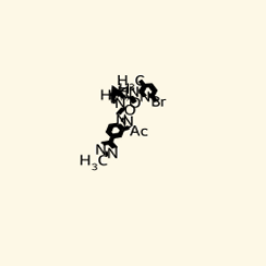 CC(=O)c1nn(CC(=O)N2C[C@@H]3C[C@@H]3[C@H]2C(=O)Nc2nc(Br)ccc2C)c2ccc(-c3cnc(C)nc3)cc12